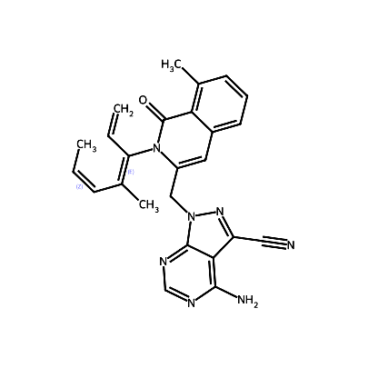 C=C/C(=C(C)\C=C/C)n1c(Cn2nc(C#N)c3c(N)ncnc32)cc2cccc(C)c2c1=O